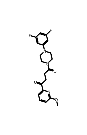 COc1cccc(C(=O)CCC(=O)N2CCN(c3cc(F)cc(F)c3)CC2)n1